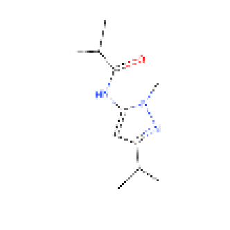 CC(C)C(=O)Nc1cc(C(C)C)nn1C